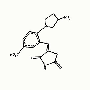 NC1CCN(c2ccc(C(=O)O)cc2C=C2SC(=O)NC2=O)C1